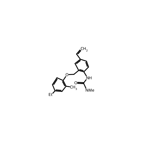 C=Cc1ccc(NC(=O)NC)c(COc2ccc(CC)cc2C)c1